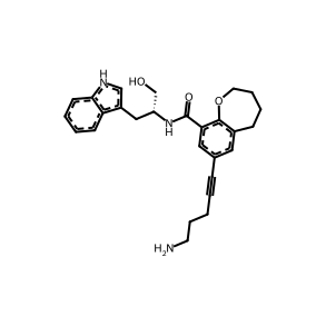 NCCCC#Cc1cc2c(c(C(=O)N[C@@H](CO)Cc3c[nH]c4ccccc34)c1)OCCCC2